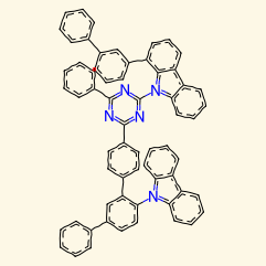 c1ccc(-c2cccc(-c3cccc4c5ccccc5n(-c5nc(-c6ccccc6)nc(-c6ccc(-c7cc(-c8ccccc8)ccc7-n7c8ccccc8c8ccccc87)cc6)n5)c34)c2)cc1